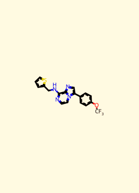 FC(F)(F)Oc1ccc(-c2cnc3c(NCc4cccs4)nccn23)cc1